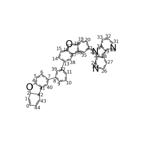 C1=CC2Oc3ccc(-c4cccc(-c5ccc6oc7ccc(-n8c9cnccc9c9ncccc98)cc7c6c5)c4)cc3C2C=C1